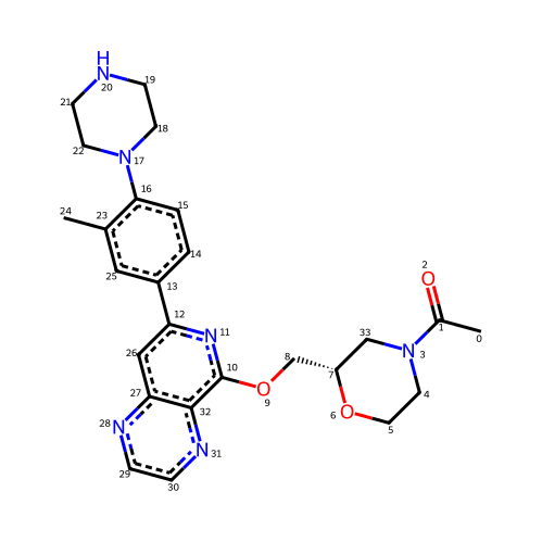 CC(=O)N1CCO[C@H](COc2nc(-c3ccc(N4CCNCC4)c(C)c3)cc3nccnc23)C1